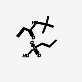 C=CC(=O)NC(C)(C)C.CCCS(=O)(=O)O